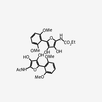 CCOC(=O)Nc1oc(-c2c(OC)cccc2OC)c(O)c1O.COc1cccc(OC)c1-c1oc(NC(C)=O)c(O)c1O